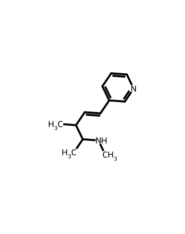 CNC(C)C(C)C=Cc1cccnc1